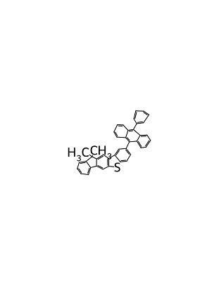 CC1(C)c2ccccc2-c2cc3sc4ccc(-c5c6ccccc6c(-c6ccccc6)c6ccccc56)cc4c3cc21